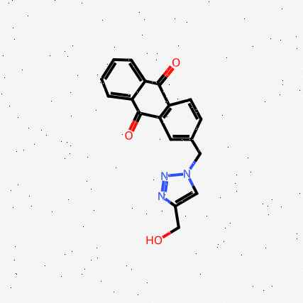 O=C1c2ccccc2C(=O)c2cc(Cn3cc(CO)nn3)ccc21